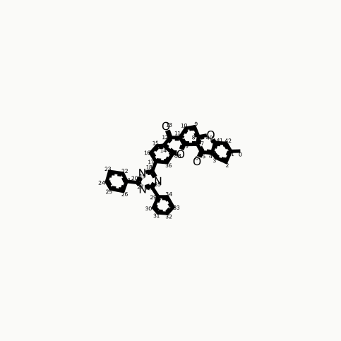 Cc1ccc2c(=O)c3c(ccc4c(=O)c5ccc(-c6nc(-c7ccccc7)nc(-c7ccccc7)n6)cc5oc43)oc2c1